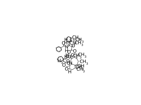 CC(=O)O[C@@]12CO[C@@H]1C[C@H](C)[C@]1(C)[C@@H]2[C@H](OC(=O)c2ccccc2)[C@]2(O)C[C@H](OC(=O)[C@H](O[Si](C)(C)C(C)(C)C)[C@@H](NC(=O)c3ccccc3)c3ccccc3)C(C)=C([C@H](C)[C@@H]1O)C2(C)C